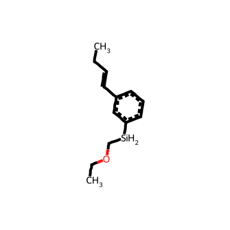 CCC=Cc1cccc([SiH2]COCC)c1